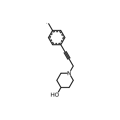 [CH2]c1ccc(C#CCN2CCC(O)CC2)cc1